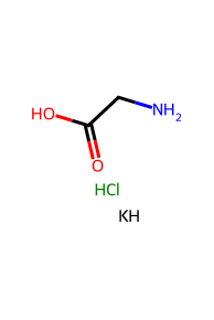 Cl.NCC(=O)O.[KH]